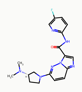 CN(C)[C@H]1CCN(c2ccc3ncc(C(=O)Nc4ccc(F)cn4)n3n2)C1